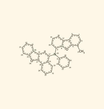 Cc1cccc2c1oc1c(N(c3ccccc3)c3cc4c5ccccc5oc4c4ccccc34)cccc12